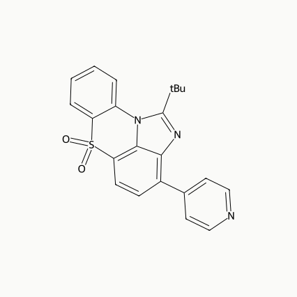 CC(C)(C)c1nc2c(-c3ccncc3)ccc3c2n1-c1ccccc1S3(=O)=O